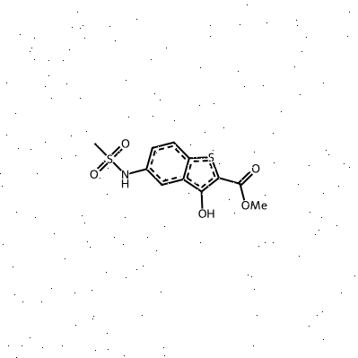 COC(=O)c1sc2ccc(NS(C)(=O)=O)cc2c1O